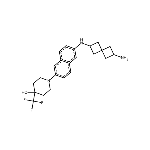 NC1CC2(C1)CC(Nc1ccc3cc(N4CCC(O)(C(F)(F)F)CC4)ccc3c1)C2